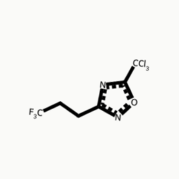 FC(F)(F)CCc1noc(C(Cl)(Cl)Cl)n1